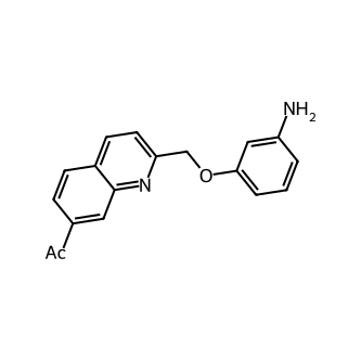 CC(=O)c1ccc2ccc(COc3cccc(N)c3)nc2c1